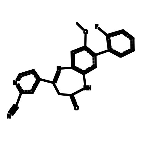 COc1cc2c(cc1-c1ccccc1F)NC(=O)CC(c1ccnc(C#N)c1)=N2